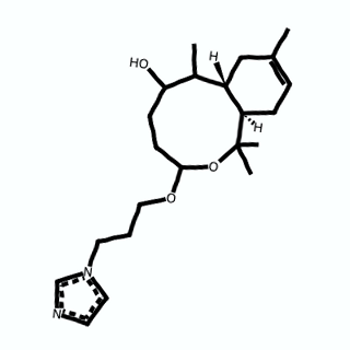 CC1=CC[C@@H]2[C@@H](C1)C(C)C(O)CCC(OCCCn1ccnc1)OC2(C)C